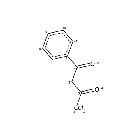 O=C(CC(=O)C(Cl)(Cl)Cl)c1ccccc1